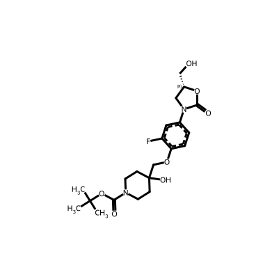 CC(C)(C)OC(=O)N1CCC(O)(COc2ccc(N3C[C@H](CO)OC3=O)cc2F)CC1